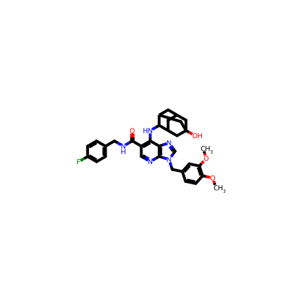 COc1ccc(Cn2cnc3c(NC4C5CC6CC4CC(O)(C6)C5)c(C(=O)NCc4ccc(F)cc4)cnc32)cc1OC